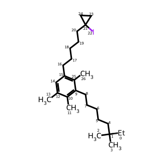 CCC(C)(C)CCCCCc1c(C)c(C)cc(CCCCCC2(I)CC2)c1C